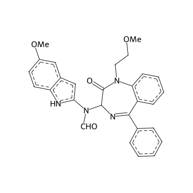 COCCN1C(=O)C(N(C=O)c2cc3cc(OC)ccc3[nH]2)N=C(c2ccccc2)c2ccccc21